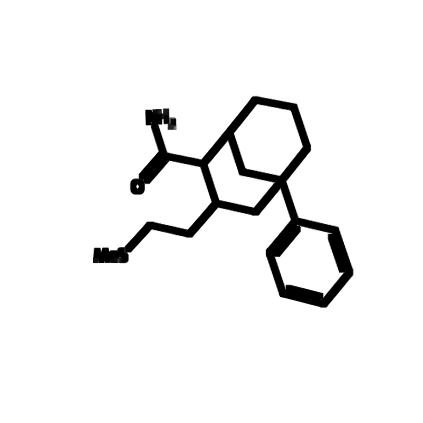 CSCCC1CC2(c3ccccc3)CCCC(C2)C1C(N)=O